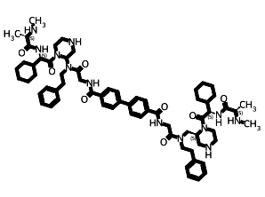 CN[C@@H](C)C(=O)N[C@H](C(=O)N1CCNCC1N(CCc1ccccc1)C(=O)CNC(=O)c1ccc(-c2ccc(C(=O)NCC(=O)N(CCc3ccccc3)C[C@@H]3CNCCN3C(=O)[C@@H](NC(=O)[C@H](C)NC)C3CCCCC3)cc2)cc1)C1CCCCC1